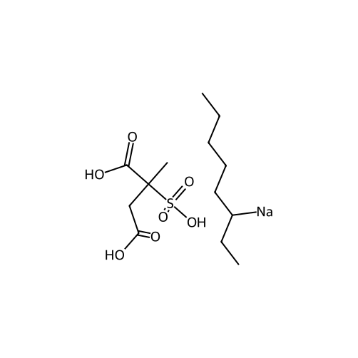 CC(CC(=O)O)(C(=O)O)S(=O)(=O)O.CCCCC[CH]([Na])CC